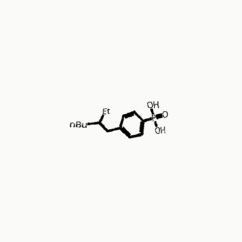 CCCCC(CC)Cc1ccc(P(=O)(O)O)cc1